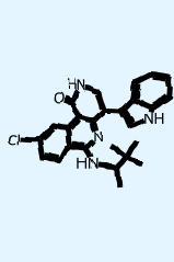 CC(Nc1nc2c(-c3c[nH]c4ccccc34)c[nH]c(=O)c2c2cc(Cl)ccc12)C(C)(C)C